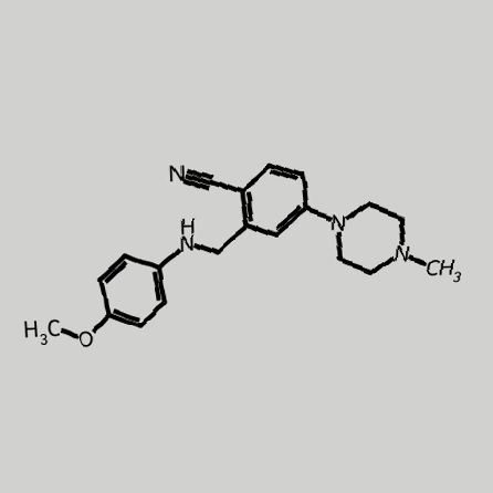 COc1ccc(NCc2cc(N3CCN(C)CC3)ccc2C#N)cc1